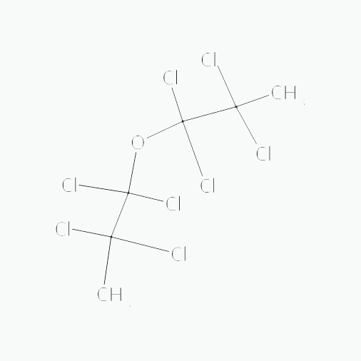 CC(Cl)(Cl)C(Cl)(Cl)OC(Cl)(Cl)C(C)(Cl)Cl